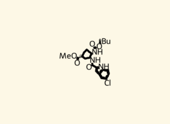 COC(=O)[C@H]1CCC(NC(=O)OC(C)(C)C)C(NC(=O)c2cc3cc(Cl)ccc3[nH]2)C1